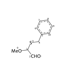 COC([C]=O)SCc1ccccc1